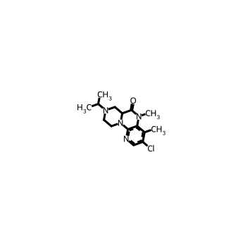 Cc1c(Cl)cnc2c1N(C)C(=O)C1CN(C(C)C)CCN21